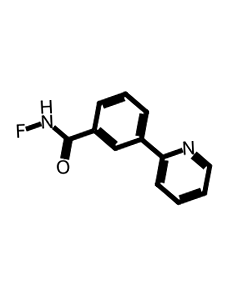 O=C(NF)c1cccc(-c2ccccn2)c1